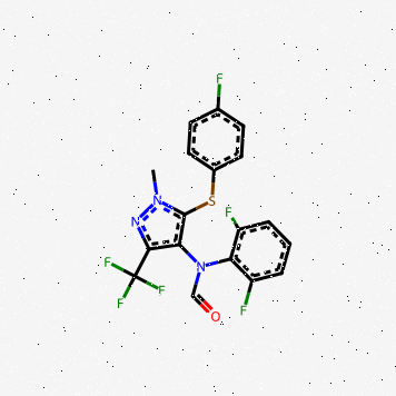 Cn1nc(C(F)(F)F)c(N(C=O)c2c(F)cccc2F)c1Sc1ccc(F)cc1